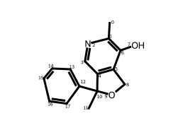 Cc1ncc2c(c1O)COC2(C)c1ccccc1